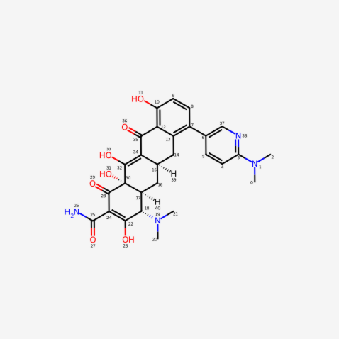 CN(C)c1ccc(-c2ccc(O)c3c2C[C@H]2C[C@H]4[C@H](N(C)C)C(O)=C(C(N)=O)C(=O)[C@@]4(O)C(O)=C2C3=O)cn1